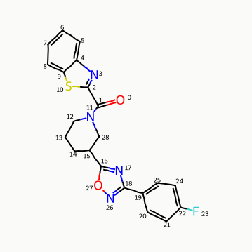 O=C(c1nc2ccccc2s1)N1CCCC(c2nc(-c3ccc(F)cc3)no2)C1